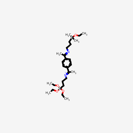 CCO[Si](C)(C)CCC/N=C(\C)c1ccc(/C(C)=N/CCC[Si](OCC)(OCC)OCC)cc1